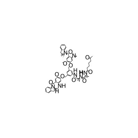 C=Nc1cc(OCc2cc(COc3cc4c(cc3OC)C(=O)N3c5ccccc5C[C@H]3CN4)cc(NC(=O)[C@H](C)NC(=O)[C@H](C)NC(=O)CCCCC(C)=O)c2)c(OC)cc1C(=O)N1c2ccccc2C[C@H]1C